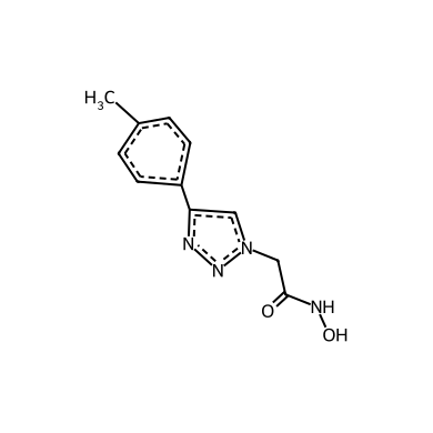 Cc1ccc(-c2cn(CC(=O)NO)nn2)cc1